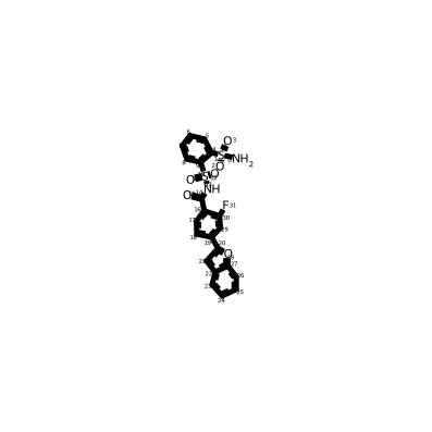 NS(=O)(=O)c1ccccc1S(=O)(=O)NC(=O)c1ccc(-c2cc3ccccc3o2)cc1F